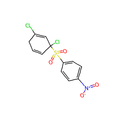 O=[N+]([O-])c1ccc(S(=O)(=O)C2(Cl)C=CCC(Cl)=C2)cc1